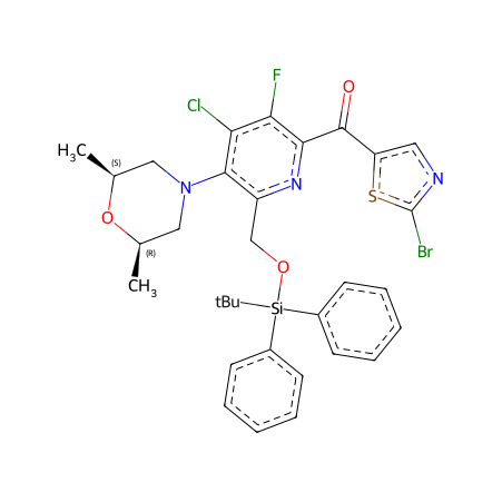 C[C@@H]1CN(c2c(CO[Si](c3ccccc3)(c3ccccc3)C(C)(C)C)nc(C(=O)c3cnc(Br)s3)c(F)c2Cl)C[C@H](C)O1